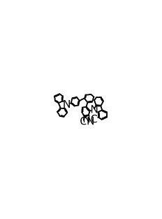 N#Cc1ccc(C2=CCCC=C2c2ccc(-n3c4ccccc4c4ccccc43)cc2)c(-n2c3c(c4cccc(C#N)c42)C=CCC3)c1